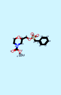 CC(C)(C)OC(=O)N1CCOC(COS(=O)(=O)Cc2ccccc2)C1